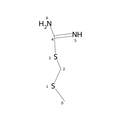 CSCSC(=N)N